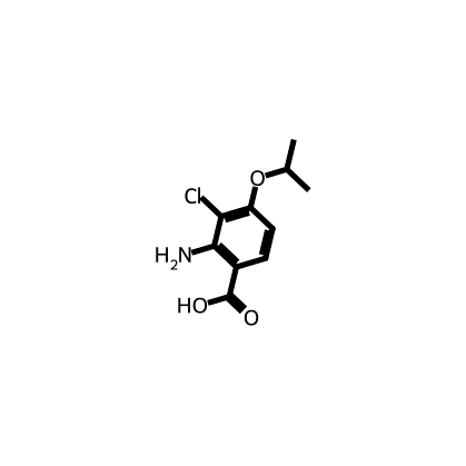 CC(C)Oc1ccc(C(=O)O)c(N)c1Cl